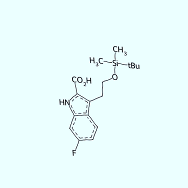 CC(C)(C)[Si](C)(C)OCCc1c(C(=O)O)[nH]c2cc(F)ccc12